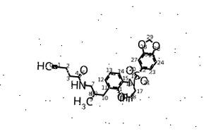 C#CCCC(=O)NC[C@H](C)Cc1cccc(N(CC(C)C)S(=O)(=O)c2ccc3c(c2)OCO3)c1O